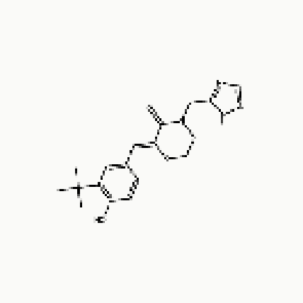 CC(C)(C)c1cc(/C=C2\SCCN(Cc3nnn[nH]3)C2=O)ccc1O